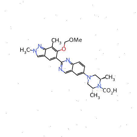 COCOc1c(-c2ncc3cc(N4C[C@@H](C)N(C(=O)O)[C@H](C)C4)ccc3n2)cc2cn(C)nc2c1C